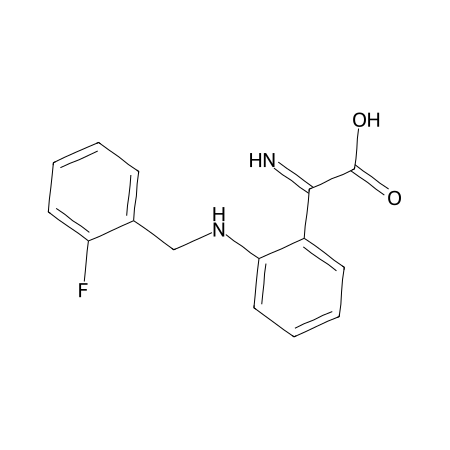 N=C(C(=O)O)c1ccccc1NCc1ccccc1F